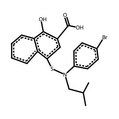 CC(C)CN(Sc1cc(C(=O)O)c(O)c2ccccc12)c1ccc(Br)cc1